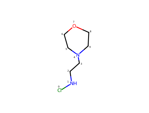 ClNCCN1CCOCC1